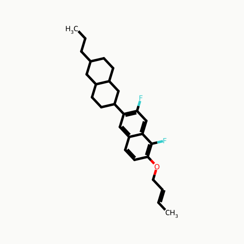 C/C=C/COc1ccc2cc(C3CCC4CC(CCC)CCC4C3)c(F)cc2c1F